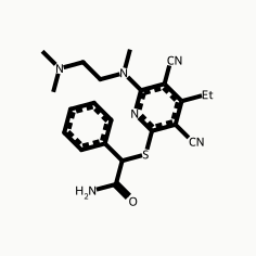 CCc1c(C#N)c(SC(C(N)=O)c2ccccc2)nc(N(C)CCN(C)C)c1C#N